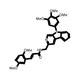 COc1ccc(OC)c(/C=C/C(=O)NCc2cc3c4ccccc4n(-c4cc(OC)c(OC)c(OC)c4)c3cn2)c1